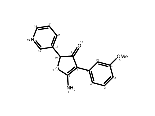 COc1cccc(C2=C(N)OC(c3cccnc3)C2=O)c1